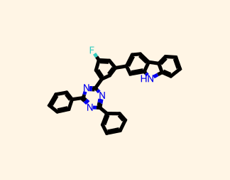 Fc1cc(-c2ccc3c(c2)[nH]c2ccccc23)cc(-c2nc(-c3ccccc3)nc(-c3ccccc3)n2)c1